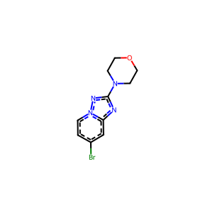 Brc1ccn2nc(N3CCOCC3)nc2c1